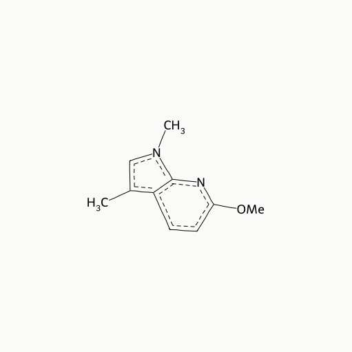 COc1ccc2c(C)cn(C)c2n1